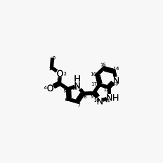 CCOC(=O)c1ccc(-c2n[nH]c3ncccc23)[nH]1